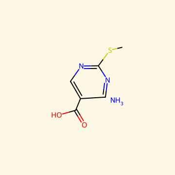 CSc1ncc(C(=O)O)cn1.N